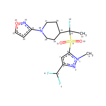 Cn1nc(C(F)F)cc1S(=O)(=O)C(C)(F)C1CCN(c2ccon2)CC1